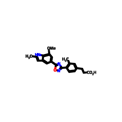 COc1cc(-c2nc(-c3ccc(CCC(=O)O)cc3C)no2)cc2cc(C)[nH]c12